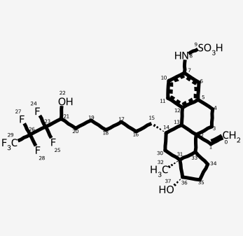 C=CC12CCc3cc(NS(=O)(=O)O)ccc3C1[C@@H](CCCCCCC(O)C(F)(F)C(F)(F)C(F)(F)F)C[C@@]1(C)C2CC[C@@H]1O